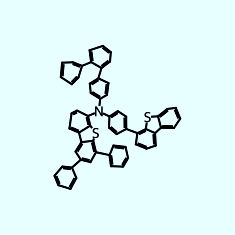 c1ccc(-c2cc(-c3ccccc3)c3sc4c(N(c5ccc(-c6ccccc6-c6ccccc6)cc5)c5ccc(-c6cccc7c6sc6ccccc67)cc5)cccc4c3c2)cc1